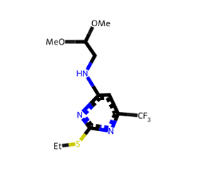 CCSc1nc(NCC(OC)OC)cc(C(F)(F)F)n1